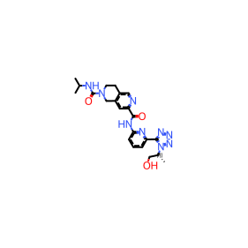 CC(C)NC(=O)N1CCc2cnc(C(=O)Nc3cccc(-c4nnnn4[C@H](C)CO)n3)cc2C1